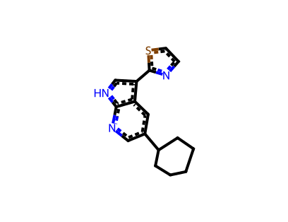 c1csc(-c2c[nH]c3ncc(C4CCCCC4)cc23)n1